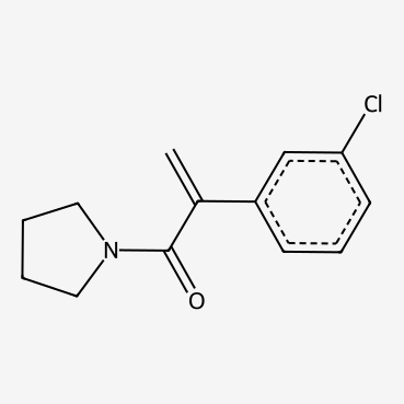 C=C(C(=O)N1CCCC1)c1cccc(Cl)c1